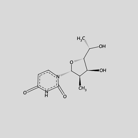 C[C@@H]1[C@H](O)[C@@H]([C@H](C)O)O[C@H]1n1ccc(=O)[nH]c1=O